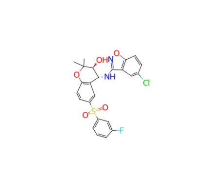 CC1(C)Oc2ccc(S(=O)(=O)c3cccc(F)c3)cc2[C@@H](Nc2noc3ccc(Cl)cc23)[C@@H]1O